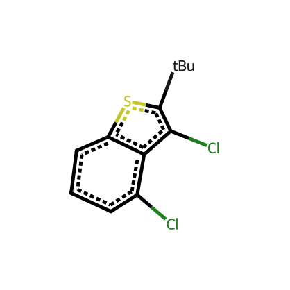 CC(C)(C)c1sc2cccc(Cl)c2c1Cl